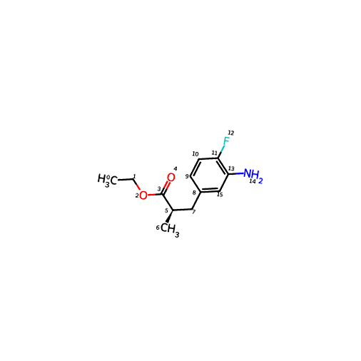 CCOC(=O)[C@H](C)Cc1ccc(F)c(N)c1